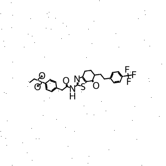 CCS(=O)(=O)c1ccc(CC(=O)Nc2nc3c(s2)C(=O)C(CCc2ccc(C(F)(F)F)cc2)CC3)cc1